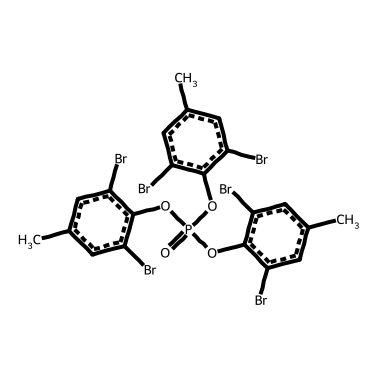 Cc1cc(Br)c(OP(=O)(Oc2c(Br)cc(C)cc2Br)Oc2c(Br)cc(C)cc2Br)c(Br)c1